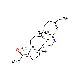 COC(=O)[C@H]1CC[C@H]2[C@@H]3CN=C4C=C(OC)CC[C@]4(C)[C@H]3CC[C@]12C